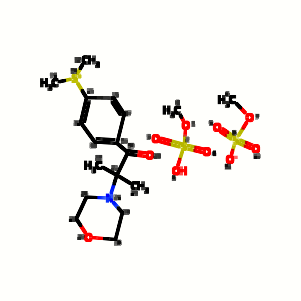 COS(=O)(=O)O.COS(=O)(=O)[O-].C[S+](C)c1ccc(C(=O)C(C)(C)N2CCOCC2)cc1